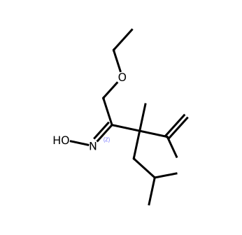 C=C(C)C(C)(CC(C)C)/C(COCC)=N/O